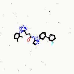 Cc1cccc(-n2nnnc2CCC(=O)Nc2ccnn2-c2cccc(-c3cccc(F)c3)c2)c1C